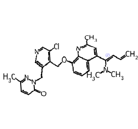 C=C/C=C(/c1cc(C)nc2c(OCc3c(Cl)cncc3Cn3nc(C)ccc3=O)cccc12)N(C)C